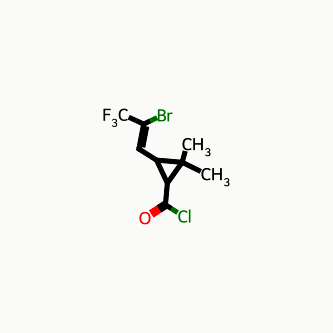 CC1(C)C(C=C(Br)C(F)(F)F)C1C(=O)Cl